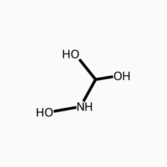 ONC(O)O